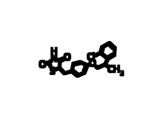 CC(COc1ccc(CC2SC(=O)NC2=O)cc1)c1ccccc1Cl